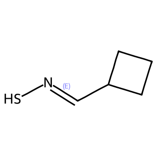 S/N=C/C1CCC1